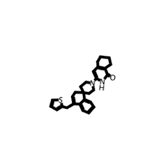 O=c1[nH]c(N2CCC3(CC=C(Cc4cccs4)c4ccccc43)CC2)cc2c1CCCC2